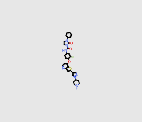 O=C(Nc1ccc(Oc2ccnc3cc(-c4cnn(C5CCNCC5)c4)sc23)c(F)c1)N1CCN(c2ccccc2)C1=O